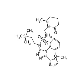 COc1cccc(OC)c1-n1c(-c2ccco2)nnc1N(CC[Si](C)(C)C)S(=O)(=O)CCN1C(=O)CCC[C@@H]1C